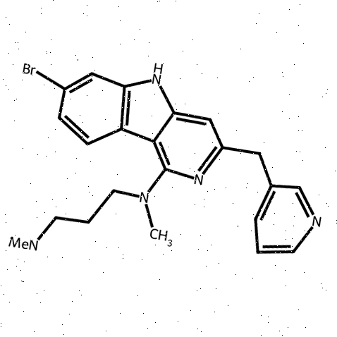 CNCCCN(C)c1nc(Cc2cccnc2)cc2[nH]c3cc(Br)ccc3c12